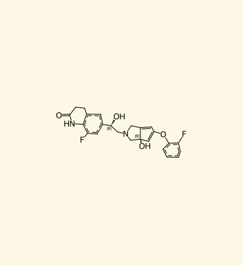 O=C1CCc2cc([C@@H](O)CN3CC4=CC(Oc5ccccc5F)=C[C@]4(O)C3)cc(F)c2N1